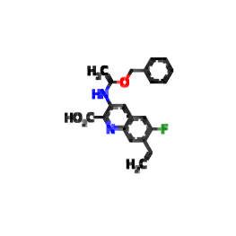 C=Cc1cc2nc(C(=O)O)c(NC(=C)OCc3ccccc3)cc2cc1F